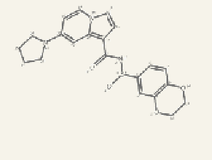 O=C(N[S+]([O-])c1ccc2c(c1)OCCO2)c1cnn2ccc(N3CCCC3)cc12